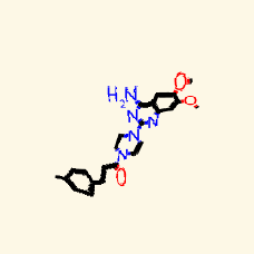 COc1cc2nc(N3CCN(C(=O)C=Cc4ccc(C)cc4)CC3)nc(N)c2cc1OC